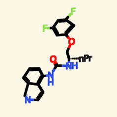 CCC[C@@H](COc1cc(F)cc(F)c1)NC(=O)Nc1cccc2cnccc12